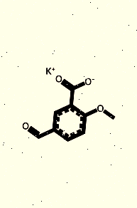 COc1ccc(C=O)cc1C(=O)[O-].[K+]